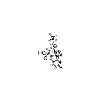 CC(C)(C)[C@H](C(=O)O)[C@@H](Cc1ccc(Br)nc1)c1nnnn1COCC[Si](C)(C)C